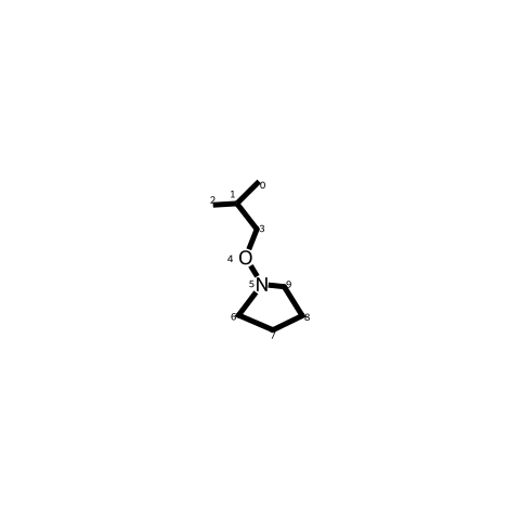 CC(C)CON1CCCC1